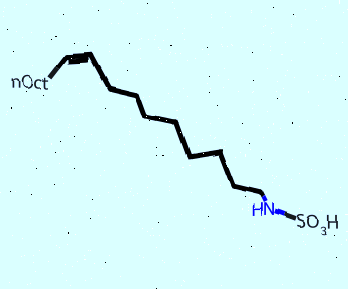 CCCCCCCC/C=C\CCCCCCCCNS(=O)(=O)O